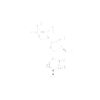 CCC(C)(OP(=O)(O)C(C)O)C1O[C@@H](c2cn(C)c(=O)[nH]c2=O)[C@H](O)[C@@H]1O